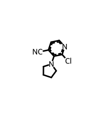 N#Cc1ccnc(Cl)c1N1CCCC1